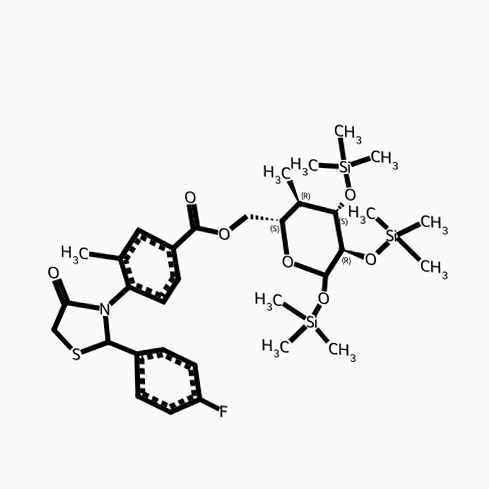 Cc1cc(C(=O)OC[C@H]2OC(O[Si](C)(C)C)[C@H](O[Si](C)(C)C)[C@@H](O[Si](C)(C)C)[C@@H]2C)ccc1N1C(=O)CSC1c1ccc(F)cc1